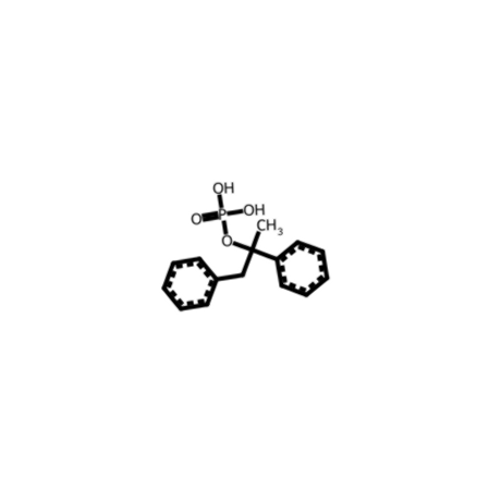 CC(Cc1ccccc1)(OP(=O)(O)O)c1ccccc1